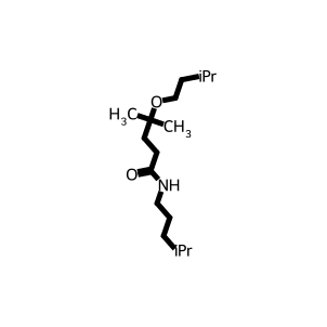 CC(C)CCCNC(=O)CCC(C)(C)OCCC(C)C